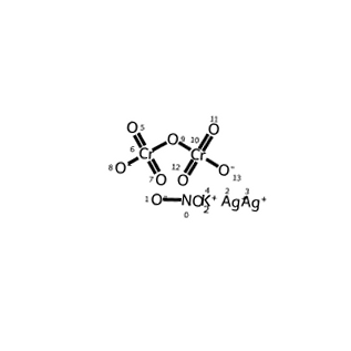 O=[N+]([O-])[O-].[Ag+].[Ag+].[K+].[O]=[Cr](=[O])([O-])[O][Cr](=[O])(=[O])[O-]